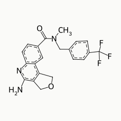 CN(Cc1ccc(C(F)(F)F)cc1)C(=O)c1ccc2nc(N)c3c(c2c1)COC3